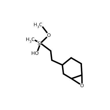 CO[Si](C)(O)CCC1CCC2OC2C1